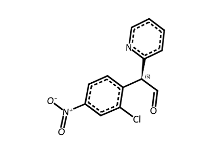 O=C[C@H](c1ccccn1)c1ccc([N+](=O)[O-])cc1Cl